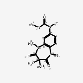 CCN(C(=O)OC(C)(C)C)c1ccc2c(c1)N(C)C(=O)C(C)(C)C(=O)N2CC